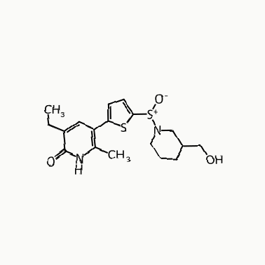 CCc1cc(-c2ccc([S+]([O-])N3CCCC(CO)C3)s2)c(C)[nH]c1=O